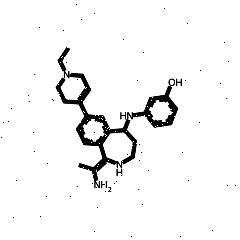 CCN1CC=C(c2ccc3c(c2)C(Nc2cccc(O)c2)CCN/C3=C(/C)N)CC1